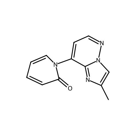 Cc1cn2nccc(-n3ccccc3=O)c2n1